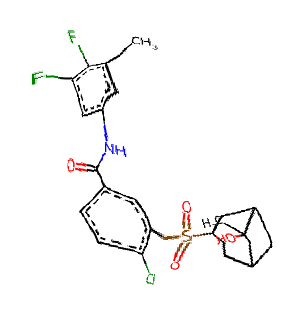 Cc1cc(NC(=O)c2ccc(Cl)c(S(=O)(=O)C3CC4CC(C3)C4(C)O)c2)cc(F)c1F